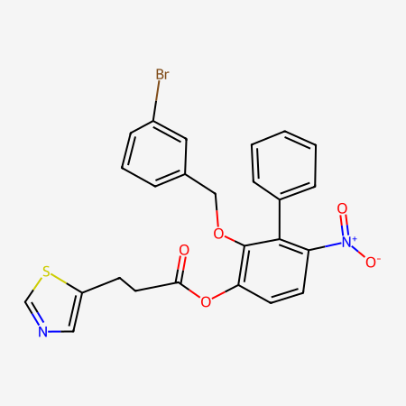 O=C(CCc1cncs1)Oc1ccc([N+](=O)[O-])c(-c2ccccc2)c1OCc1cccc(Br)c1